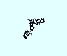 COc1cn2nccc2cc1Nc1ncnc2sc3c(c12)CC[C@H](C(=O)NCC1C2CC2CN1C)C3